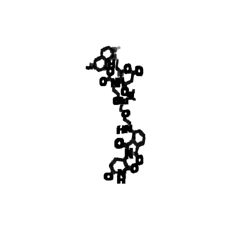 C[C@H]1C=C2C=C[C@H](C)[C@H](CC[C@@H]3CC(O[Si](C)(C)C(C)(C)C)CC(=O)O3)[C@H]2[C@@H](OC(=O)NCCOCCOCCNc2cccc3c2C(=O)N(C2CCC(=O)NC2=O)C3=O)C1